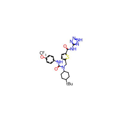 CC(C)(C)C1CCC(N(Cc2ccc(C(=O)Nc3nn[nH]n3)s2)C(=O)Nc2ccc(OC(F)(F)F)cc2)CC1